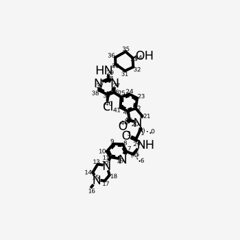 C[C@H](C(=O)N[C@H](C)c1cccc(N2CCN(C)CC2)n1)N1Cc2ccc(-c3nc(N[C@H]4CC[C@H](O)CC4)ncc3Cl)cc2C1=O